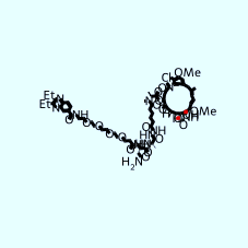 CCc1nc2ccc(C(=O)NCCOCCOCCOCCOCCC(=O)N[C@@H](CC(N)=O)C(=O)N[C@@H](C)C(=O)NNC(=O)CCCCC(=O)N(C)[C@@H](C)C(=O)O[C@H]3CC(=O)N(C)c4cc(cc(OC)c4Cl)C/C(C)=C/C=C/[C@@H](OC)[C@@]4(O)C[C@H](OC(=O)N4)[C@@H](C)[C@@H]4O[C@@]34C)cc2nc1CC